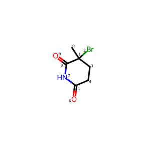 CC1(Br)CCC(=O)NC1=O